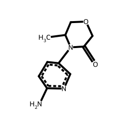 CC1COCC(=O)N1c1ccc(N)nc1